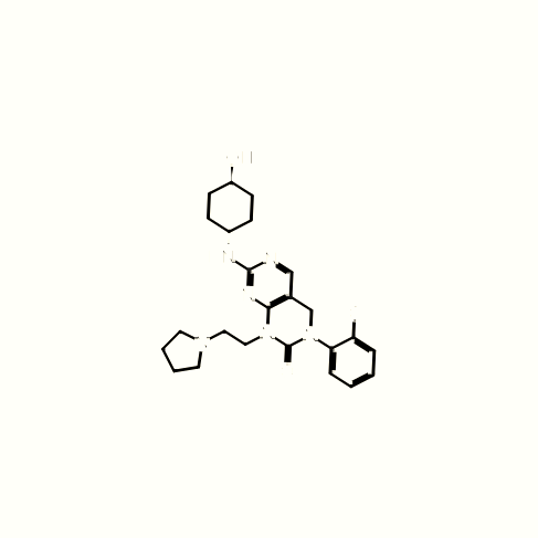 O=C1N(c2ccccc2Cl)Cc2cnc(N[C@H]3CC[C@H](O)CC3)nc2N1CCN1CCCC1